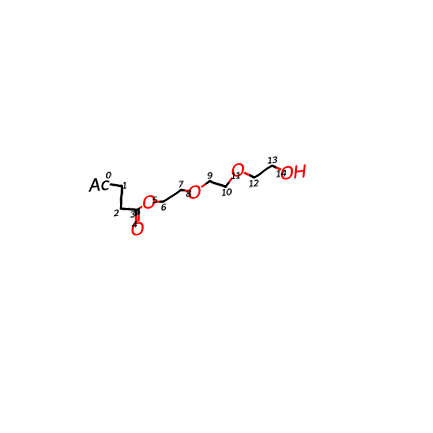 CC(=O)CCC(=O)OCCOCCOCCO